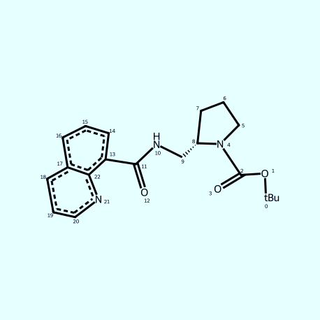 CC(C)(C)OC(=O)N1CCC[C@H]1CNC(=O)c1cccc2cccnc12